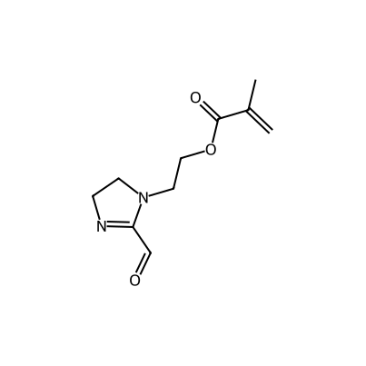 C=C(C)C(=O)OCCN1CCN=C1C=O